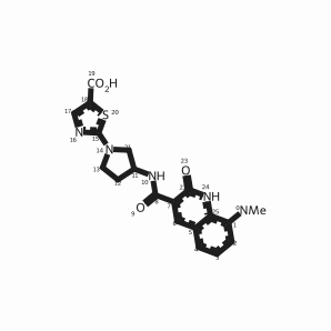 CNc1cccc2cc(C(=O)NC3CCN(c4ncc(C(=O)O)s4)C3)c(=O)[nH]c12